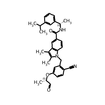 Cc1c(C)n(Cc2cc(O[C@@H](C)C=O)ccc2C#N)c2ccc(C(=O)N[C@@H](C)c3cccc(C(C)C)c3)cc12